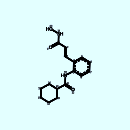 O=C(C=Cc1ccccc1NC(=O)C1CCCCC1)NO